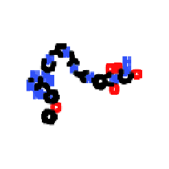 Nc1ncnc2c1c(-c1ccc(Oc3ccccc3)cc1)nn2C1CCN(CC2CCN(CC3CN(CC4CN(c5ccc6c(c5)C(=O)N(C5CCC(=O)NC5=O)C6=O)C4)C3)C2)CC1